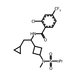 CCCS(=O)(=O)N(C)C1CC(C(CC2CC2)NC(=O)c2ccc(C(F)(F)F)cc2Cl)C1